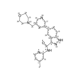 Cc1ccnc(NC(=O)c2n[nH]c3ccc(-c4cncc(CN5CCOCC5)c4)cc23)c1